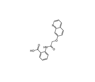 O=C(COc1ccc2cccnc2c1)Nc1ccccc1C(=O)O